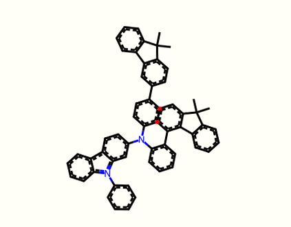 CC1(C)c2ccccc2-c2cc(-c3ccc(N(c4ccc5c6ccccc6n(-c6ccccc6)c5c4)c4ccccc4-c4cccc5c4-c4ccccc4C5(C)C)cc3)ccc21